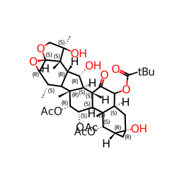 CC(=O)O[C@H]1[C@H]2[C@@H](C(=O)C(OC(=O)C(C)(C)C)[C@H]3C[C@@]4(O)C[C@@H]4[C@H](OC(C)=O)[C@]23C)[C@@H]2[C@@H](O)[C@@H]3C([C@H](C)[C@H]4O[C@]45OC[C@@](C)(O)[C@]35C)[C@@]2(C)[C@H]1OC(C)=O